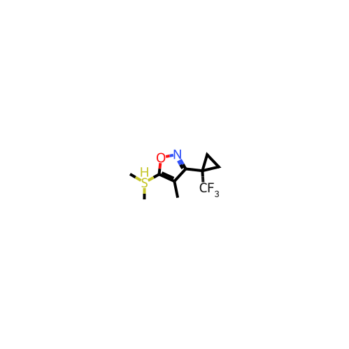 Cc1c(C2(C(F)(F)F)CC2)noc1[SH](C)C